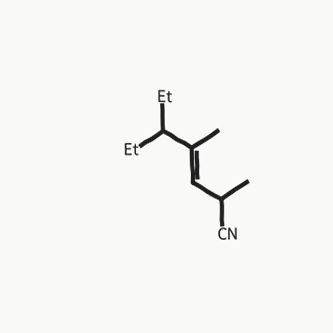 CCC(CC)/C(C)=C/C(C)C#N